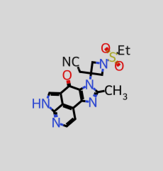 CCS(=O)(=O)N1CC(CC#N)(n2c(C)nc3c2C(=O)c2c[nH]c4nccc-3c24)C1